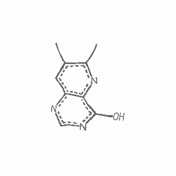 Cc1cc2ncnc(O)c2nc1C